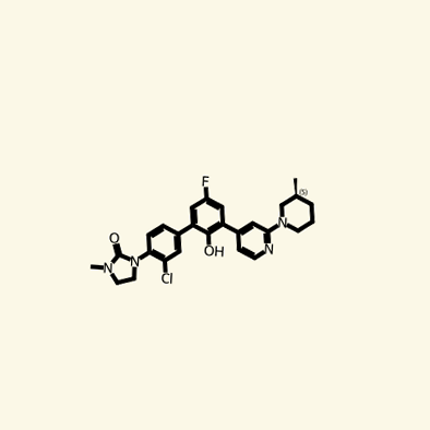 C[C@H]1CCCN(c2cc(-c3cc(F)cc(-c4ccc(N5CCN(C)C5=O)c(Cl)c4)c3O)ccn2)C1